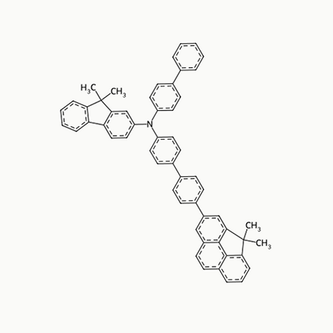 CC1(C)c2ccccc2-c2ccc(N(c3ccc(-c4ccccc4)cc3)c3ccc(-c4ccc(-c5cc6c7c(ccc8cccc(c87)C6(C)C)c5)cc4)cc3)cc21